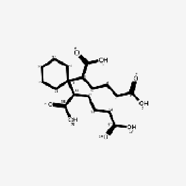 O=C(O)CCCC(C(=O)O)C1(C(CCCC(=O)O)C(=O)O)CCCCC1